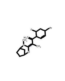 C=C(/C(C)=C1/OC2CCC(C2)N1C)C1C=CC(C(C)C)CC1F